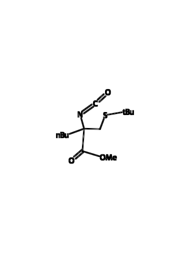 CCCCC(CSC(C)(C)C)(N=C=O)C(=O)OC